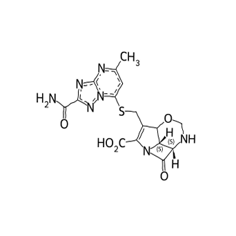 Cc1cc(SCC2=C(C(=O)O)N3C(=O)[C@H]4NCOC2[C@H]43)n2nc(C(N)=O)nc2n1